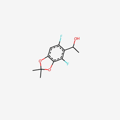 CC(O)c1c(F)cc2c(c1F)OC(C)(C)O2